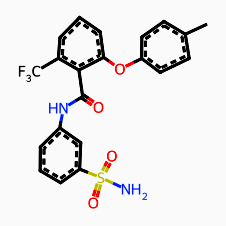 Cc1ccc(Oc2cccc(C(F)(F)F)c2C(=O)Nc2cccc(S(N)(=O)=O)c2)cc1